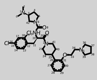 CN(C)[C@H]1CCN(C(=O)N[C@H](Cc2ccc(Cl)cc2Cl)C(=O)N2CCC(c3ccccc3OCCN3CCCC3)CC2)C1